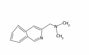 CN(C)Cc1cc2ccccc2cn1